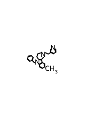 Cc1ccc2c(c1)c1c(n2Cc2ccccc2)CCCN(CCc2cccnc2)C1